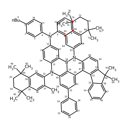 CCCCc1ccc(N(c2ccccc2)c2ccc3c(c2)B2c4c(cc(-c5ccccc5)cc4N3c3cc4c(cc3C)C(C)(C)CCC4(C)C)-c3c(ccc4c3-c3ccccc3C4(C)C)N2c2ccc3c(c2)C(C)(C)CCC3(C)C)cc1